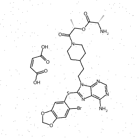 C[C@H](N)C(=O)O[C@@H](C)C(=O)N1CCC(CCn2c(Sc3cc4c(cc3Br)OCO4)nc3c(N)ncnc32)CC1.O=C(O)/C=C\C(=O)O